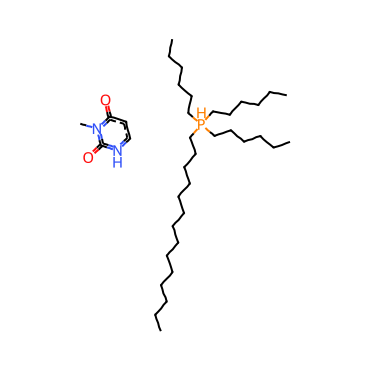 CCCCCCCCCCCCCC[PH](CCCCCC)(CCCCCC)CCCCCC.Cn1c(=O)cc[nH]c1=O